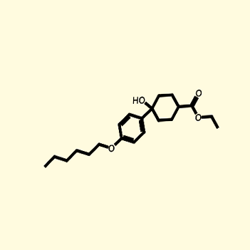 CCCCCCOc1ccc(C2(O)CCC(C(=O)OCC)CC2)cc1